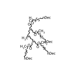 CCCCCCCCCCCCSSSCC(C)OC(=O)CCN(CCCN(C)CCCN(CCC(=O)OC(C)CSSSCCCCCCCCCCCC)CCC(=O)OC(C)CSSSCCCCCCCCCCCC)CCC(=O)OC(C)CSSSCCCCCCCCCCCC